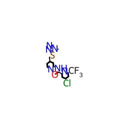 Cn1cnnc1SCc1ccnc(NC(=O)c2cc(Cl)cc(C(F)(F)F)n2)c1